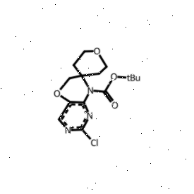 CC(C)(C)OC(=O)N1c2nc(Cl)ncc2OCC12CCOCC2